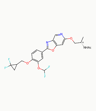 CC(=O)N[C@@H](C)COc1cc2oc(-c3ccc(OCC4CC4(F)F)c(OC(F)F)c3)nc2cn1